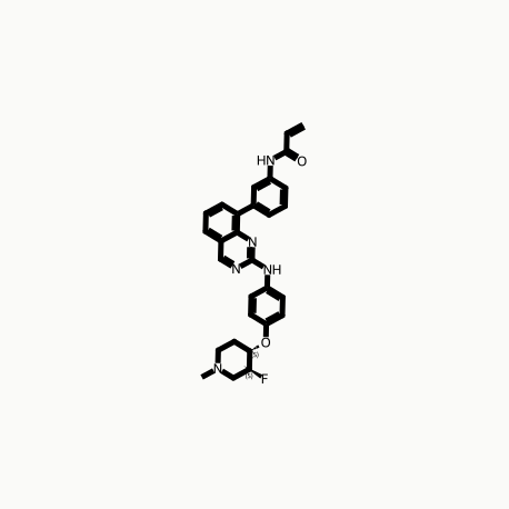 C=CC(=O)Nc1cccc(-c2cccc3cnc(Nc4ccc(O[C@H]5CCN(C)C[C@@H]5F)cc4)nc23)c1